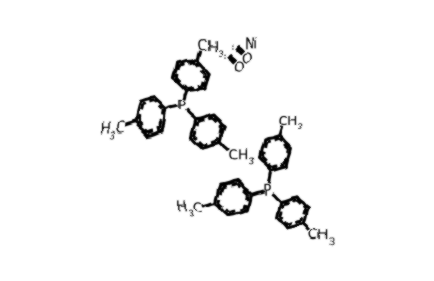 Cc1ccc(P(c2ccc(C)cc2)c2ccc(C)cc2)cc1.Cc1ccc(P(c2ccc(C)cc2)c2ccc(C)cc2)cc1.[C]=O.[C]=O.[Ni]